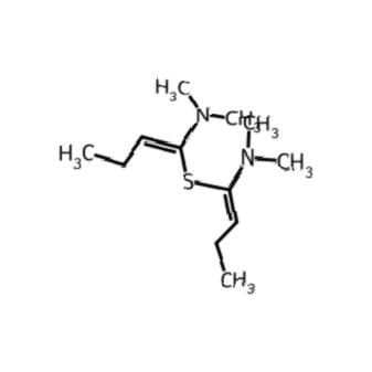 CC/C=C(\S/C(=C\CC)N(C)C)N(C)C